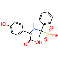 CC(N[C@@H](C(=O)O)c1ccc(O)cc1)(c1ccccc1)S(=O)(=O)O